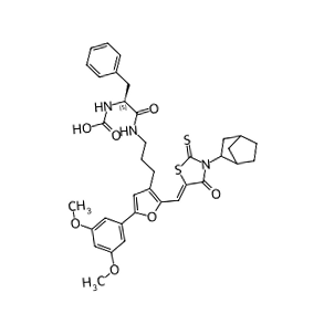 COc1cc(OC)cc(-c2cc(CCCNC(=O)[C@H](Cc3ccccc3)NC(=O)O)c(C=C3SC(=S)N(C4CC5CCC4C5)C3=O)o2)c1